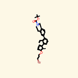 C=Cc1c(-c2ccc3c(c2)CCN(C(=O)OC(C)(C)C)C3)cccc1-c1cccc(OCCCBr)c1C